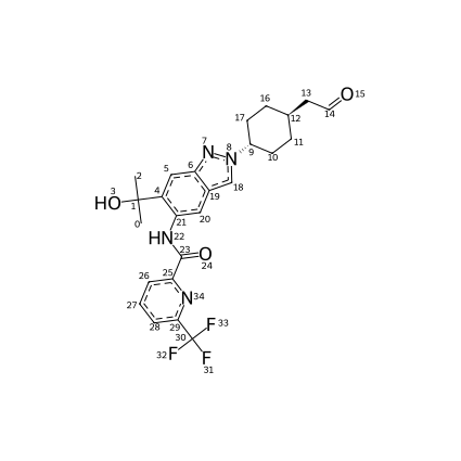 CC(C)(O)c1cc2nn([C@H]3CC[C@H](CC=O)CC3)cc2cc1NC(=O)c1cccc(C(F)(F)F)n1